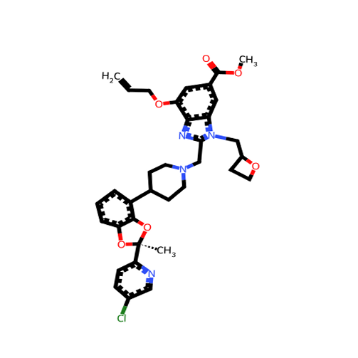 C=CCOc1cc(C(=O)OC)cc2c1nc(CN1CCC(c3cccc4c3O[C@@](C)(c3ccc(Cl)cn3)O4)CC1)n2CC1CCO1